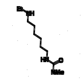 CCNCCCCCCNC(=O)NC